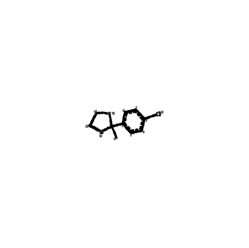 CC1(c2ccc(Cl)cc2)SCCS1